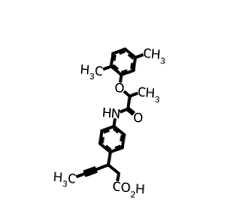 CC#CC(CC(=O)O)c1ccc(NC(=O)C(C)Oc2cc(C)ccc2C)cc1